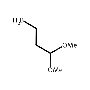 BCCC(OC)OC